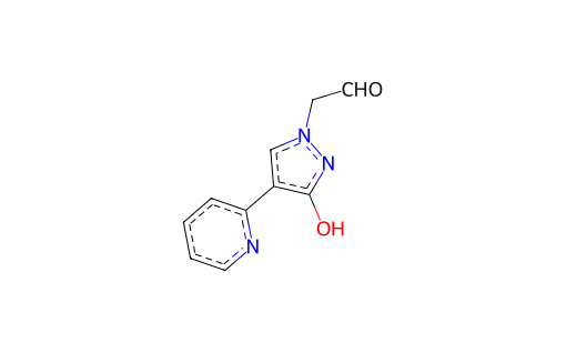 O=CCn1cc(-c2ccccn2)c(O)n1